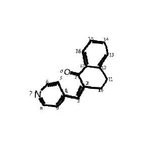 O=C1C(=Cc2ccncc2)CCc2ccccc21